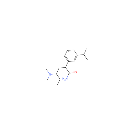 CCC(CC(C(N)=O)c1cccc(C(C)C)c1)N(C)C